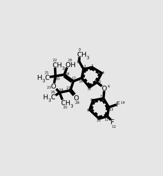 CCc1ccc(Oc2cccc(F)c2F)cc1C1=C(O)C(C)(C)OC(C)(C)C1=O